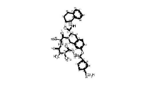 C[C@@H](C(=O)N[C@H](C(=O)N1Cc2cc(OCc3ccc(C(=O)O)cc3)ccc2C[C@H]1C(=O)N[C@@H]1CCCc2ccccc21)C(C)(C)C)N(C)C(=O)OC(C)(C)C